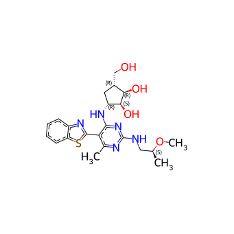 CO[C@@H](C)CNc1nc(C)c(-c2nc3ccccc3s2)c(N[C@@H]2C[C@H](CO)[C@@H](O)[C@H]2O)n1